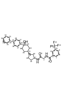 O=C(CNC(=O)c1cccc(C(F)(F)F)c1)NC1CCN(C2CCC(O)(c3ccc(-c4cccnc4)cc3)CC2)C1